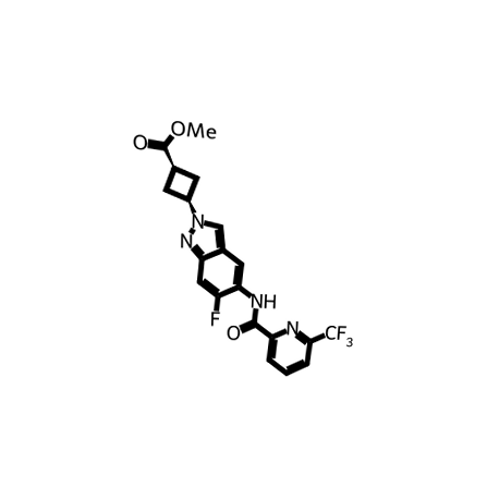 COC(=O)[C@H]1C[C@@H](n2cc3cc(NC(=O)c4cccc(C(F)(F)F)n4)c(F)cc3n2)C1